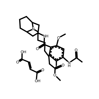 COC(=O)CCCCCCN1C2CCCC1CC(NC(=O)c1cc(Cl)c(NC(C)=O)cc1OC)C2.O=C(O)/C=C/C(=O)O